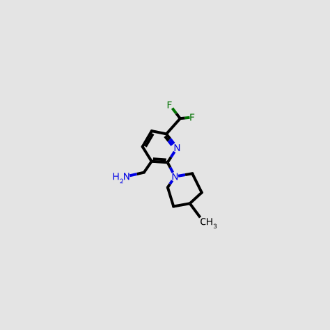 CC1CCN(c2nc(C(F)F)ccc2CN)CC1